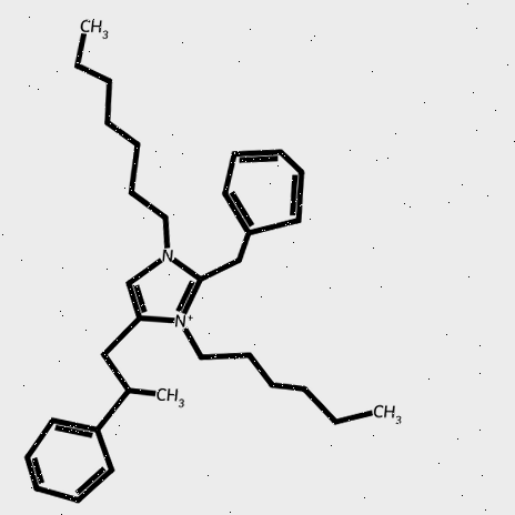 CCCCCCCn1cc(CC(C)c2ccccc2)[n+](CCCCCC)c1Cc1ccccc1